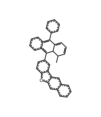 CC1C=CC=C2C(c3ccccc3)=c3ccccc3=C(c3ccc4oc5cc6ccccc6cc5c4c3)C21